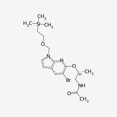 CC(=O)NC[C@@H](C)Oc1nc2c(ccn2COCC[Si](C)(C)C)cc1Br